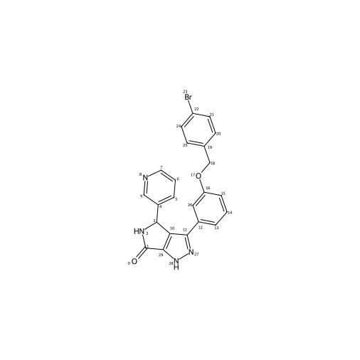 O=C1NC(c2cccnc2)c2c(-c3cccc(OCc4ccc(Br)cc4)c3)n[nH]c21